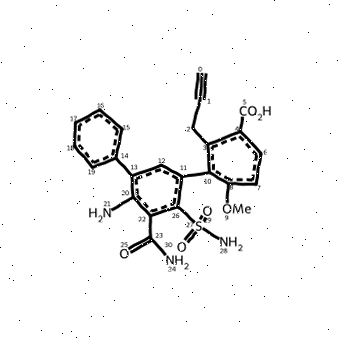 C#CCc1c(C(=O)O)ccc(OC)c1-c1cc(-c2ccccc2)c(N)c(C(N)=O)c1S(N)(=O)=O